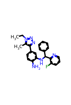 CCn1nnc(-c2ccc(N)c(NC(c3ccccc3)c3ncccc3F)c2)c1C